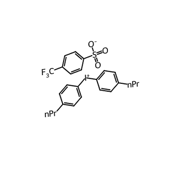 CCCc1ccc([I+]c2ccc(CCC)cc2)cc1.O=S(=O)([O-])c1ccc(C(F)(F)F)cc1